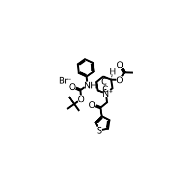 CC(=O)O[C@H]1C[N+]2(CC(=O)c3ccsc3)CCC1CC2.CC(C)(C)OC(=O)Nc1ccccc1.[Br-]